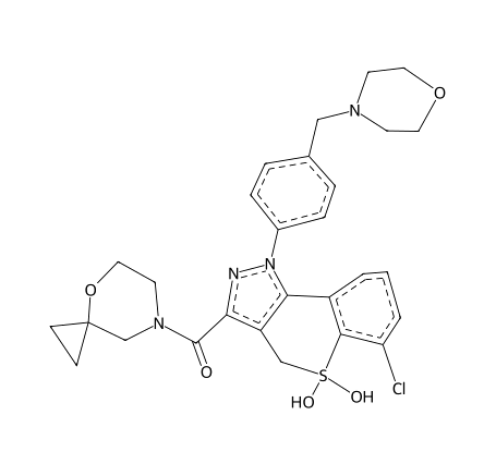 O=C(c1nn(-c2ccc(CN3CCOCC3)cc2)c2c1CS(O)(O)c1c(Cl)cccc1-2)N1CCOC2(CC2)C1